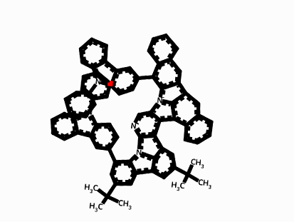 CC(C)(C)c1cc(-c2ccc3c(c2)c2ccccc2n3-c2ccccc2)c2c(c1)c1cc(C(C)(C)C)cc3c4c5c6c7ccccc7cc7c8cc9ccccc9c(-c9ccc%10c(c9)c9ccccc9n%10-c9ccccc9)c8n(c5cnc4n2c13)c76